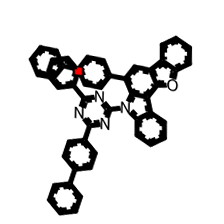 c1ccc(-c2ccc(-c3nc(-c4ccccc4)nc(-n4c5ccccc5c5c6oc7ccccc7c6cc(-c6ccc(-c7ccccc7)cc6)c54)n3)cc2)cc1